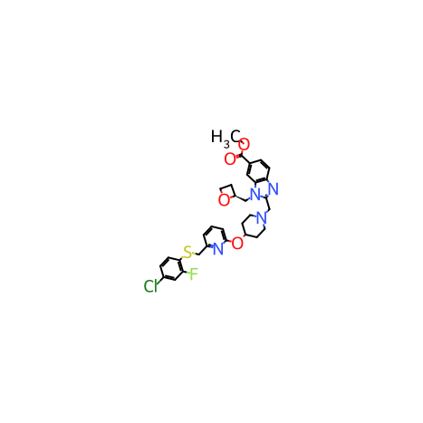 COC(=O)c1ccc2nc(CN3CCC(Oc4cccc(CSc5ccc(Cl)cc5F)n4)CC3)n(C[C@@H]3CCO3)c2c1